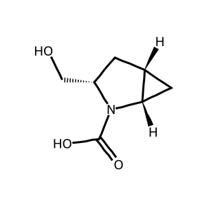 O=C(O)N1[C@H](CO)C[C@@H]2C[C@@H]21